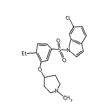 CCc1ccc(S(=O)(=O)n2ccc3ccc(Cl)cc32)cc1OC1CCN(C)CC1